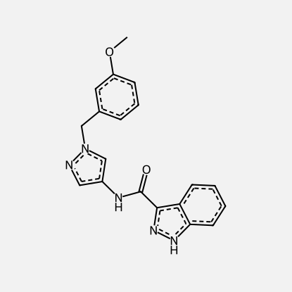 COc1cccc(Cn2cc(NC(=O)c3n[nH]c4ccccc34)cn2)c1